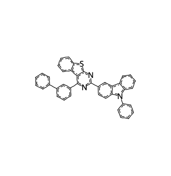 c1ccc(-c2cccc(-c3nc(-c4ccc5c(c4)c4ccccc4n5-c4ccccc4)nc4sc5ccccc5c34)c2)cc1